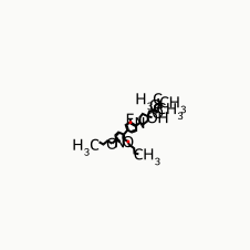 CCCCOc1ccc(-c2ccc(N3CCC(O)(CC(=O)OC(C)(C)C)CC3)c(F)c2)c(OCCCC)n1